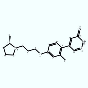 Cc1cc(OCCCN2CCC[C@H]2C)ccc1-c1cn[nH]c(=O)c1